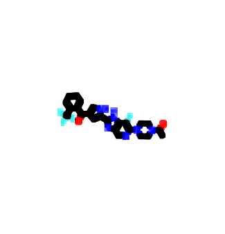 CC(=O)N1CCN(c2ncc3nc(-c4cc(C(=O)c5ccccc5C(F)(F)F)c[nH]4)[nH]c3c2F)CC1